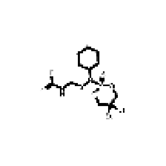 CCC1(CC)COP(=S)(N(SCNC(=O)F)C2CCCCC2)OC1